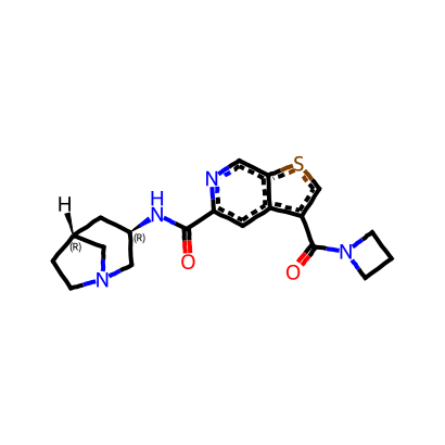 O=C(N[C@@H]1C[C@H]2CCN(C2)C1)c1cc2c(C(=O)N3CCC3)csc2cn1